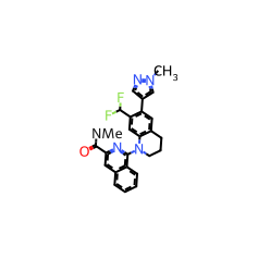 CNC(=O)c1cc2ccccc2c(N2CCCc3cc(-c4cnn(C)c4)c(C(F)F)cc32)n1